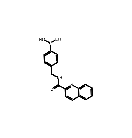 O=C(NCc1ccc(B(O)O)cc1)c1ccc2ccccc2n1